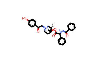 O=C(C[N+]12CCC(CC1)[C@@H](OC(=O)C(NC(=O)c1ccccc1)c1ccccc1)C2)c1ccc(O)cc1